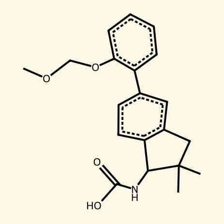 COCOc1ccccc1-c1ccc2c(c1)CC(C)(C)C2NC(=O)O